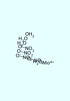 O.O.O.O.O=[N+]([O-])[O-].O=[N+]([O-])[O-].O=[N+]([O-])[O-].O=[N+]([O-])[O-].[Mo+4]